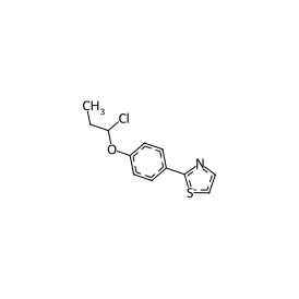 CCC(Cl)Oc1ccc(-c2nccs2)cc1